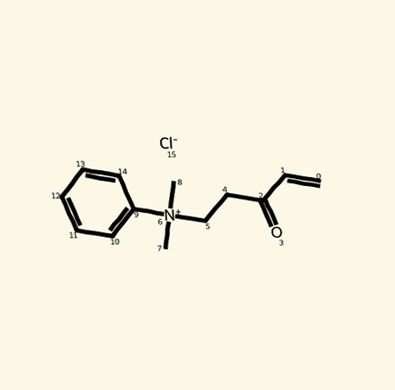 C=CC(=O)CC[N+](C)(C)c1ccccc1.[Cl-]